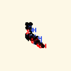 CC[C@H](C)[C@@H]([C@@H](CC(=O)N1CCC[C@H]1[C@H](OC)[C@@H](C)C(=O)N[C@@H](Cc1ccccc1)C(=O)O)OC)N(C)C(=O)[C@@H](NC(=O)[C@@H]1[C@H]2CC[C@H](C2)N1C(=O)CCCCCNC(=O)[C@@H]1CN1C(c1ccccc1)(c1ccccc1)c1ccccc1)C(C)C